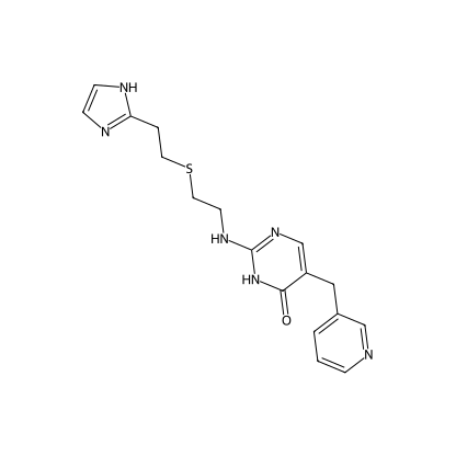 O=c1[nH]c(NCCSCCc2ncc[nH]2)ncc1Cc1cccnc1